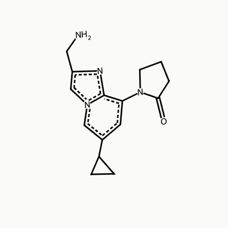 NCc1cn2cc(C3CC3)cc(N3CCCC3=O)c2n1